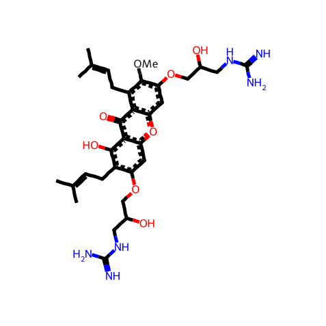 COc1c(OCC(O)CNC(=N)N)cc2oc3cc(OCC(O)CNC(=N)N)c(CC=C(C)C)c(O)c3c(=O)c2c1CC=C(C)C